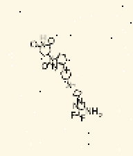 CN(C[C@H]1C[C@H](n2cc(N)c(C(F)F)n2)C1)C1CCN(c2cccc3c2n(C)c(=O)n3C2CCC(=O)NC(=O)C2)CC1